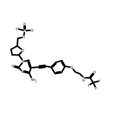 Nc1nc(=O)n(C2CCC(COP(=O)(Cl)Cl)O2)cc1C#Cc1ccc(OCCNC(=O)C(F)(F)F)cc1